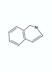 [c]1cccc2c1C=C[N]C2